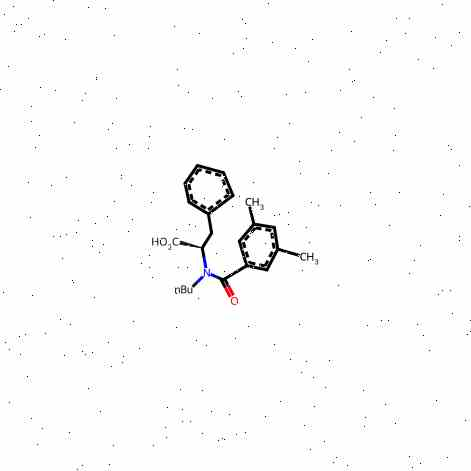 CCCCN(C(=O)c1cc(C)cc(C)c1)[C@H](Cc1ccccc1)C(=O)O